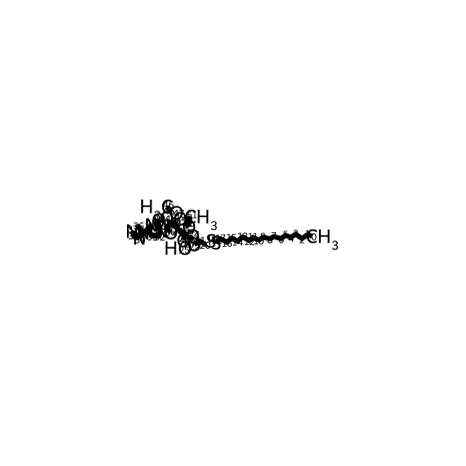 CCCCCCCCCCCCCCCCCCSSCCOP(=O)(O)OCC1OC(n2ccc(-n3cncn3)nc2=O)[C@H](OC(C)=O)[C@@H]1OC(C)=O